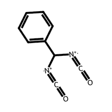 O=C=[N+]C([N+]=C=O)c1ccccc1